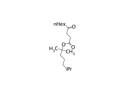 CCCCCCC(=O)CCC(=O)OC(C)(C)CCCC(C)C